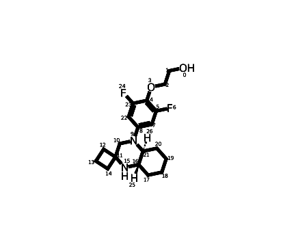 OCCOc1c(F)cc(N2CC3(CCC3)N[C@H]3CCCC[C@@H]32)cc1F